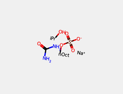 CC(C)O.CCCCCCCCOS(=O)(=O)[O-].NC(N)=O.[Na+]